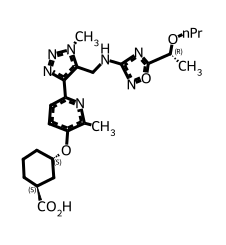 CCCO[C@H](C)c1nc(NCc2c(-c3ccc(O[C@H]4CCC[C@H](C(=O)O)C4)c(C)n3)nnn2C)no1